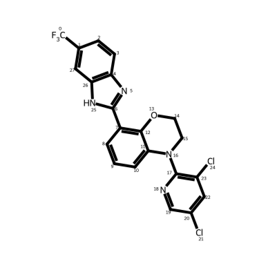 FC(F)(F)c1ccc2nc(-c3cccc4c3OCCN4c3ncc(Cl)cc3Cl)[nH]c2c1